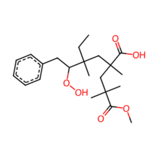 CCC(C)(CC(C)(CC(C)(C)C(=O)OC)C(=O)O)C(Cc1ccccc1)OO